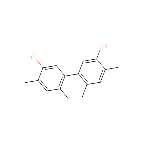 Cc1cc(C)c(-c2cc(O)c(C)cc2C)cc1O